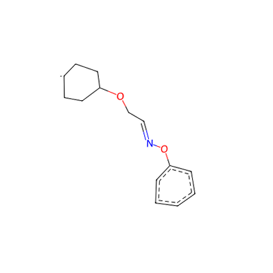 [CH]1CCC(OCC=NOc2ccccc2)CC1